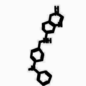 CN(c1ccccc1)c1ccc(CNc2ccc3c(c2)N=CNC3)cc1